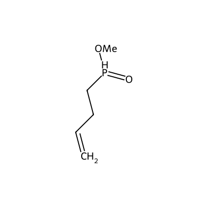 C=CCC[PH](=O)OC